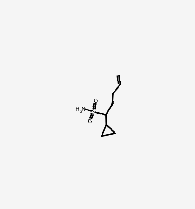 C=CCCC(C1CC1)S(N)(=O)=O